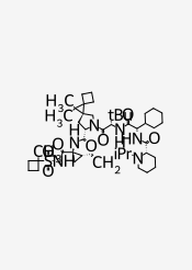 C=C[C@@H]1C[C@]1(NC(=O)[C@@H]1C[C@@]2(CN1C(=O)[C@@H](NC(=O)[C@@H](NC(=O)[C@@H]1CCCCN1C(C)C)C1CCCCC1)C(C)(C)C)C(C)(C)C21CCC1)C(=O)NS(=O)(=O)C1(C)CCC1